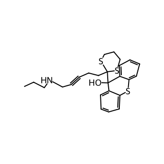 CCCNCC#CCCC1(C2(O)c3ccccc3Sc3ccccc32)SCCCS1